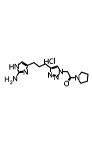 Cl.Nc1nc(CCCc2cn(CC(=O)N3CCCC3)nn2)c[nH]1